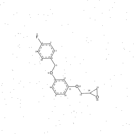 Fc1ccc(COc2cccc(OCC3CO3)c2)cc1